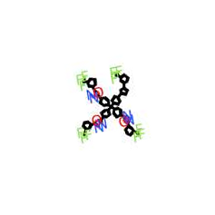 FC(F)(F)c1cccc(C2=CC=C(c3ccc(C(c4ccc(-c5nnc(-c6cccc(C(F)(F)F)c6)o5)cc4)(c4ccc(-c5nnc(-c6cccc(C(F)(F)F)c6)o5)cc4)c4ccc(-c5nnc(-c6cccc(C(F)(F)F)c6)o5)cc4)cc3)C2)c1